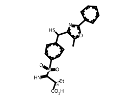 CC[C@@H](C(=N)S(=O)(=O)c1ccc(C(S)c2nc(-c3ccccc3)oc2C)cc1)C(=O)O